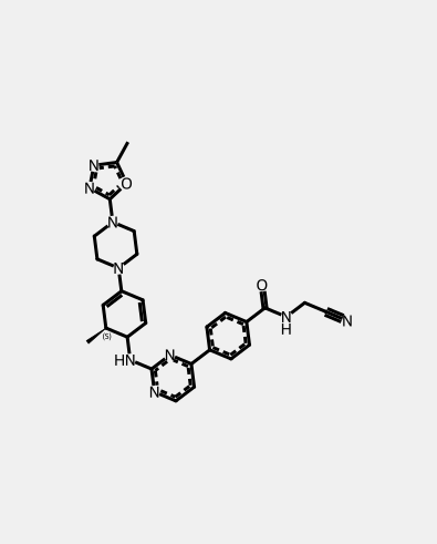 Cc1nnc(N2CCN(C3=C[C@H](C)C(Nc4nccc(-c5ccc(C(=O)NCC#N)cc5)n4)C=C3)CC2)o1